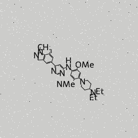 CCN(CC)C1CCN(c2cc(OC)c(Nc3cc(-c4ccc5c(cnn5C)c4)ncn3)cc2NC)CC1